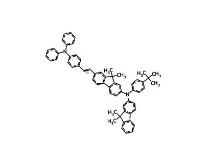 CC(C)(C)c1ccc(N(c2ccc3c(c2)C(C)(C)c2ccccc2-3)c2ccc3c(c2)C(C)(C)c2cc(/C=C/c4ccc(N(c5ccccc5)c5ccccc5)cc4)ccc2-3)cc1